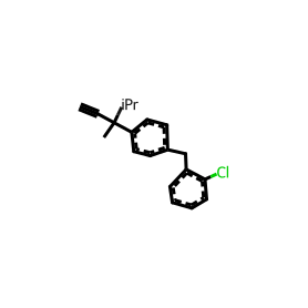 C#CC(C)(c1ccc(Cc2ccccc2Cl)cc1)C(C)C